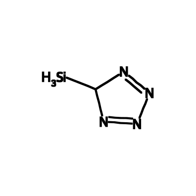 [SiH3]C1N=NN=N1